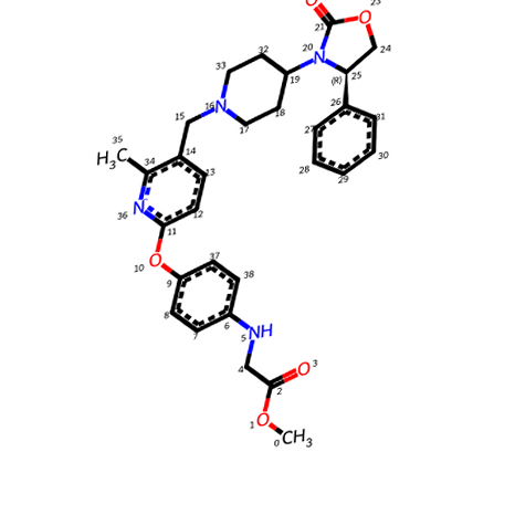 COC(=O)CNc1ccc(Oc2ccc(CN3CCC(N4C(=O)OC[C@H]4c4ccccc4)CC3)c(C)n2)cc1